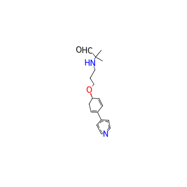 CC(C)(C=O)NCCCO[C@H]1C=CC(c2ccncc2)=CC1